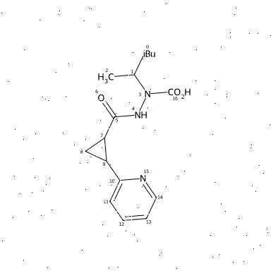 CCC(C)C(C)N(NC(=O)C1CC1c1ccccn1)C(=O)O